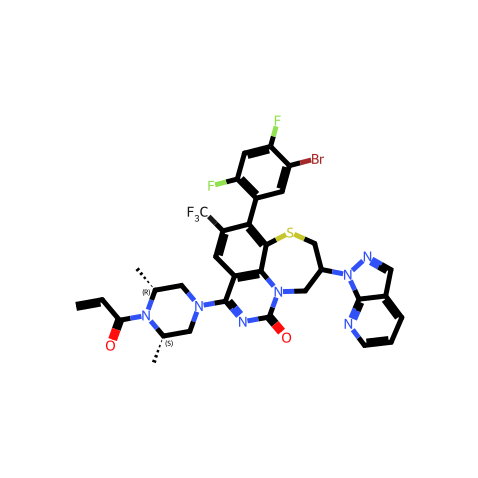 C=CC(=O)N1[C@H](C)CN(c2nc(=O)n3c4c(c(-c5cc(Br)c(F)cc5F)c(C(F)(F)F)cc24)SCC(n2ncc4cccnc42)C3)C[C@@H]1C